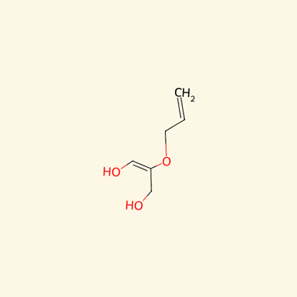 C=CCOC(=CO)CO